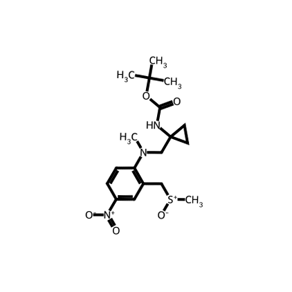 CN(CC1(NC(=O)OC(C)(C)C)CC1)c1ccc([N+](=O)[O-])cc1C[S+](C)[O-]